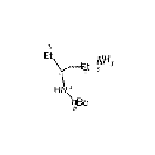 CCCCNC(CC)CC.N